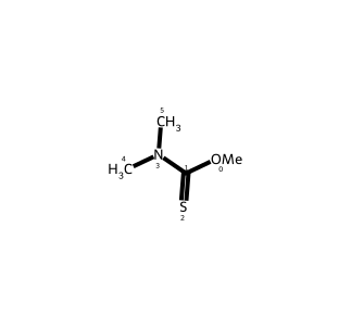 [CH2]OC(=S)N(C)C